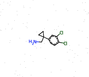 NCC1(c2ccc(Cl)c(Cl)c2)CC1